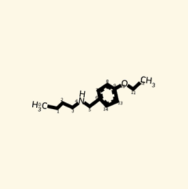 CCCCNCc1ccc(OCC)cc1